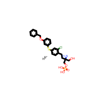 NC(CO)(CCc1ccc(Sc2cccc(OCc3ccccc3)c2)cc1Cl)COP(=O)(O)O.[H+].[H+]